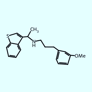 COc1cccc(CCCNC(C)c2csc3ccccc23)c1